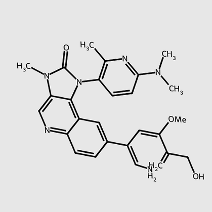 C=C(CO)/C(=C\C(=C/N)c1ccc2ncc3c(c2c1)n(-c1ccc(N(C)C)nc1C)c(=O)n3C)OC